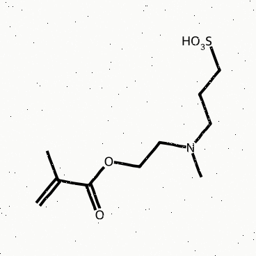 C=C(C)C(=O)OCCN(C)CCCS(=O)(=O)O